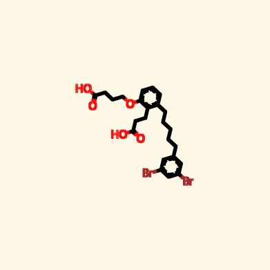 O=C(O)CCCOc1cccc(CCCCCc2cc(Br)cc(Br)c2)c1CCC(=O)O